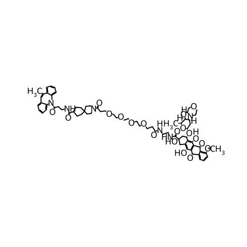 COc1cccc2c1C(=O)c1c(O)c3c(c(O)c1C2=O)C[C@@](O)(C(=O)NCCNC(=O)CCOCCOCCOCCOCCC(=O)N1CCC2(CCC(C(=O)NCCC(=O)N4Cc5ccccc5/C(C)=C\c5ccccc54)CC2)CC1)C[C@@H]3O[C@H]1C[C@H]2[C@H](O[C@@H]3COCCN32)[C@H](C)O1